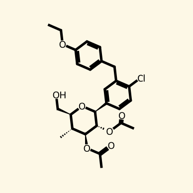 CCOc1ccc(Cc2cc([C@@H]3O[C@H](CO)[C@@H](C)[C@H](OC(C)=O)[C@H]3OC(C)=O)ccc2Cl)cc1